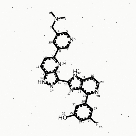 CN(C)Cc1cncc(-c2ccc3[nH]nc(-c4nc5c(-c6cc(O)cc(F)c6)nccc5[nH]4)c3n2)c1